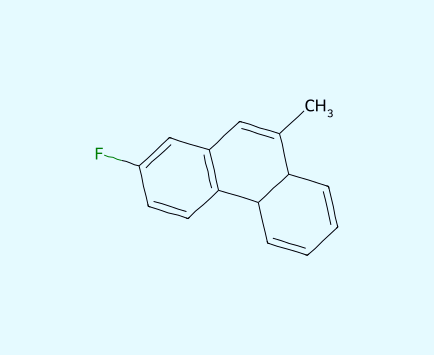 CC1=Cc2cc(F)ccc2C2C=CC=CC12